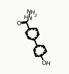 NNC(=O)c1ccc(-c2ccc(O)cc2)cc1